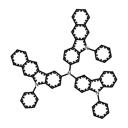 c1ccc(-n2c3ccccc3c3cc(N(c4ccc5c(c4)c4cc6ccccc6cc4n5-c4ccccc4)c4ccc5c6cc7ccccc7cc6n(-c6ccccc6)c5c4)ccc32)cc1